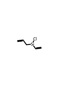 C=CC[Si](Cl)C=C